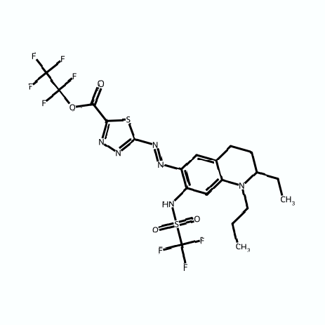 CCCN1c2cc(NS(=O)(=O)C(F)(F)F)c(N=Nc3nnc(C(=O)OC(F)(F)C(F)(F)F)s3)cc2CCC1CC